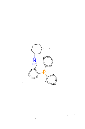 C(=N\C1CCCCC1)/c1ccccc1P(c1ccccc1)c1ccccc1